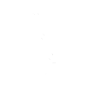 Cn1ncc(-c2ccc3cn([C@H]4CC[C@H](CNC(=O)c5cc(F)c(O)c(F)c5)CC4)nc3c2)c1C(F)(F)F